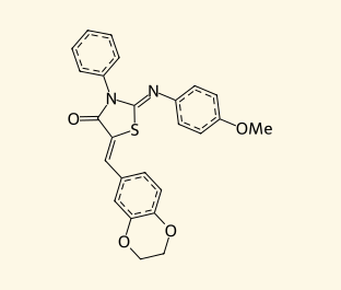 COc1ccc(/N=C2\S/C(=C\c3ccc4c(c3)OCCO4)C(=O)N2c2ccccc2)cc1